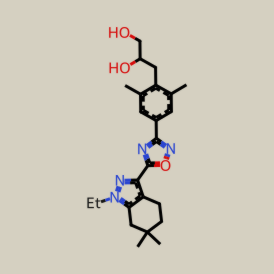 CCn1nc(-c2nc(-c3cc(C)c(CC(O)CO)c(C)c3)no2)c2c1CC(C)(C)CC2